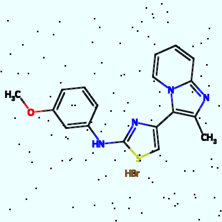 Br.COc1cccc(Nc2nc(-c3c(C)nc4ccccn34)cs2)c1